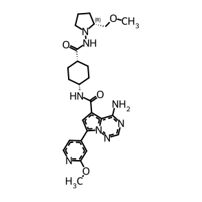 COC[C@H]1CCCN1NC(=O)[C@H]1CC[C@@H](NC(=O)c2cc(-c3ccnc(OC)c3)n3ncnc(N)c23)CC1